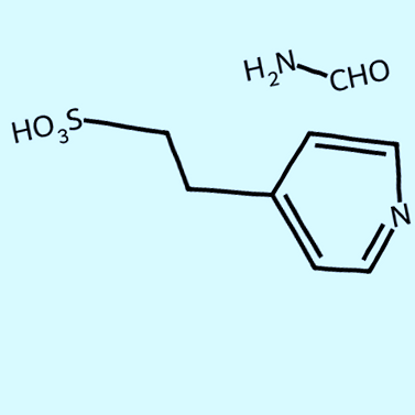 NC=O.O=S(=O)(O)CCc1ccncc1